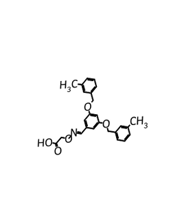 Cc1cccc(COc2cc(C=NOCC(=O)O)cc(OCc3cccc(C)c3)c2)c1